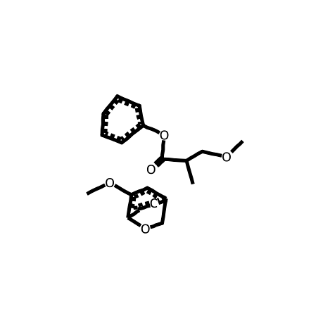 COCC(C)C(=O)Oc1ccccc1.COc1cc2ccc1OC2